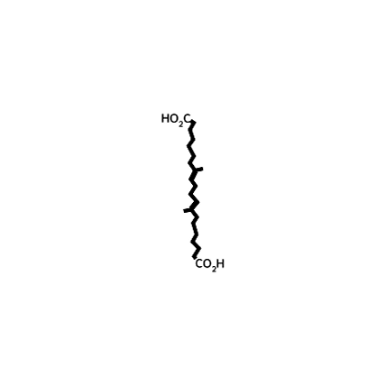 C/C(=C\CC/C=C(\C)CCCCCCC(=O)O)CCCCCCC(=O)O